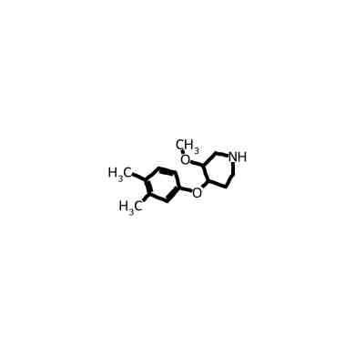 COC1CNCCC1Oc1ccc(C)c(C)c1